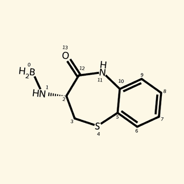 BN[C@H]1CSc2ccccc2NC1=O